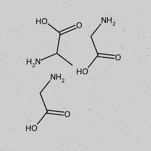 CC(N)C(=O)O.NCC(=O)O.NCC(=O)O